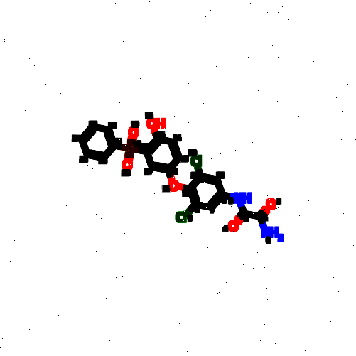 NC(=O)C(=O)Nc1cc(Cl)c(Oc2ccc(O)c(S(=O)(=O)c3ccccc3)c2)c(Cl)c1